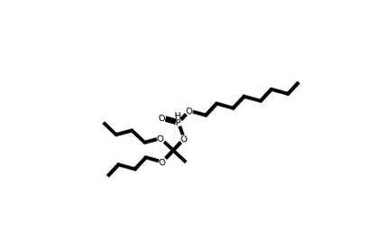 CCCCCCCCO[PH](=O)OC(C)(OCCCC)OCCCC